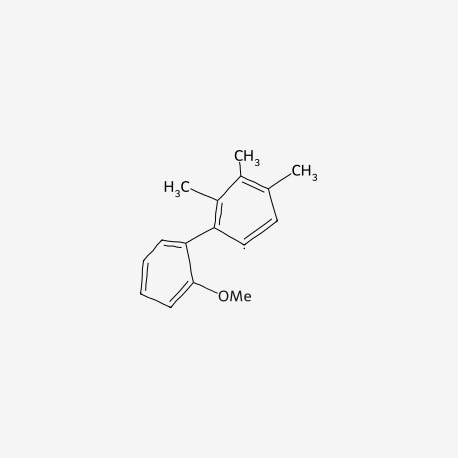 COc1ccccc1-c1[c]cc(C)c(C)c1C